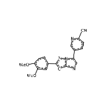 COc1ccc(-c2nn3c(-c4ccc(C#N)nc4)cnc3o2)cc1OC